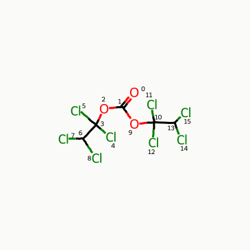 O=C(OC(Cl)(Cl)C(Cl)Cl)OC(Cl)(Cl)C(Cl)Cl